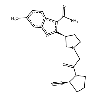 Cc1ccc2c(C(N)=O)c([C@H]3CCN(CC(=O)N4CCC[C@H]4C#N)C3)oc2c1